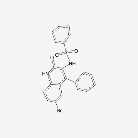 O=c1[nH]c2ccc(Br)cc2c(-c2ccccc2)c1NS(=O)(=O)c1ccccc1